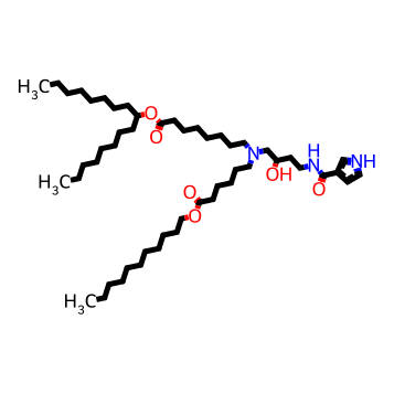 CCCCCCCCCCCOC(=O)CCCCCN(CCCCCCCC(=O)OC(CCCCCCCC)CCCCCCCC)CC(O)CCNC(=O)c1cc[nH]c1